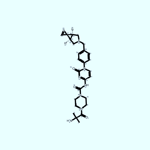 CC(C)(N)C(=O)N1CCN(C(=O)Nc2ccn(-c3ccc(CN4C[C@@H]5[C@H](C4)C54C=N4)cc3)c(=O)n2)CC1